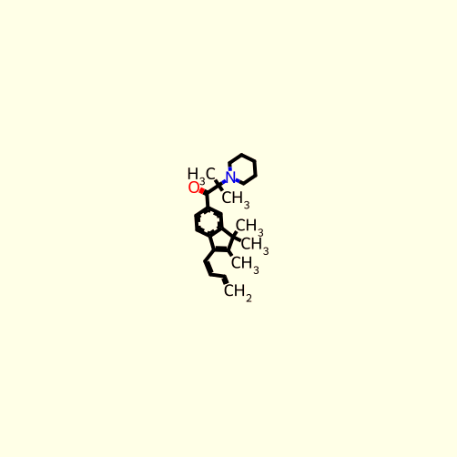 C=C/C=C\C1=C(C)C(C)(C)c2cc(C(=O)C(C)(C)N3CCCCC3)ccc21